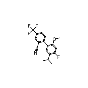 COc1cc(F)c(C(C)C)cc1-c1ccc(C(F)(F)F)cc1C#N